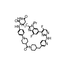 Cc1nc2c(F)cc(-c3nc(Nc4ccc(CC5CCN(C(=O)C6CCN(c7ccc(NC8CCC(=O)NC8=O)cc7)CC6)CC5)cn4)ncc3F)cc2n1C(C)C